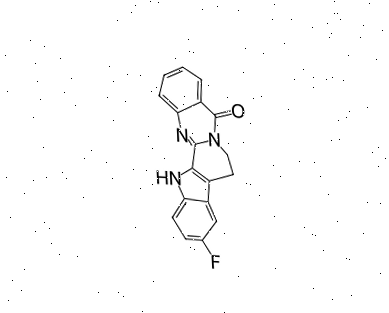 O=c1c2ccccc2nc2n1CCc1c-2[nH]c2ccc(F)cc12